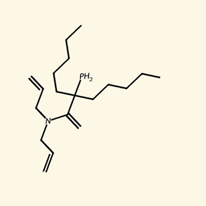 C=CCN(CC=C)C(=C)C(P)(CCCCC)CCCCC